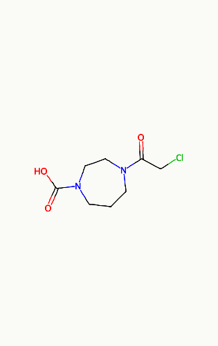 O=C(O)N1CCCN(C(=O)CCl)CC1